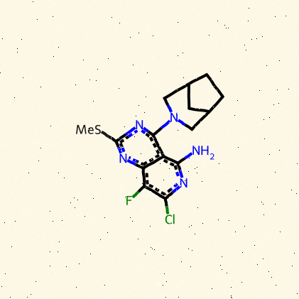 CSc1nc(N2CC3CCC(C3)C2)c2c(N)nc(Cl)c(F)c2n1